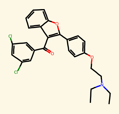 CCN(CC)CCOc1ccc(-c2oc3ccccc3c2C(=O)c2cc(Cl)cc(Cl)c2)cc1